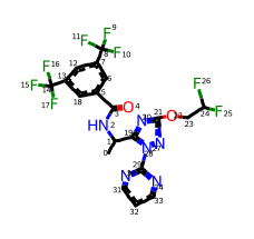 CC(NC(=O)c1cc(C(F)(F)F)cc(C(F)(F)F)c1)c1nc(OCC(F)F)nn1-c1ncccn1